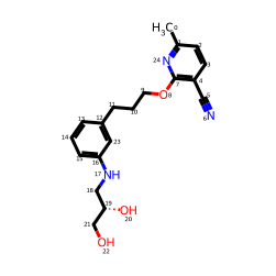 Cc1ccc(C#N)c(OCCCc2cccc(NC[C@H](O)CO)c2)n1